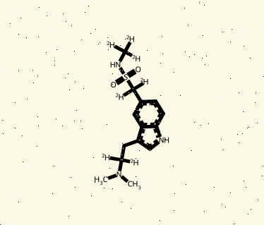 [2H]C([2H])([2H])NS(=O)(=O)C([2H])([2H])c1ccc2[nH]cc(CC([2H])([2H])N(C)C)c2c1